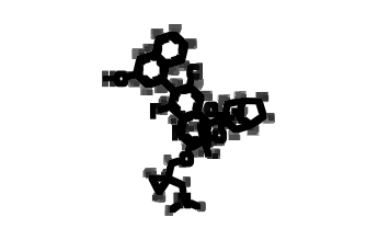 CN(C)CC1(COc2nc(N3CC4CCC(C3)N4C(=O)OC(C)(C)C)c3cc(Cl)c(-c4cc(O)cc5ccccc45)c(F)c3n2)CC1